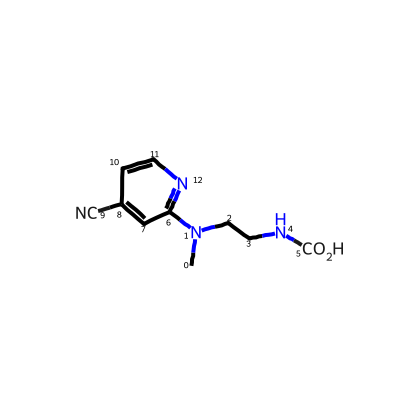 CN(CCNC(=O)O)c1cc(C#N)ccn1